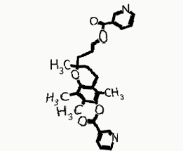 Cc1c(C)c2c(c(C)c1OC(=O)c1cccnc1)CCC(C)(CCCOC(=O)c1cccnc1)O2